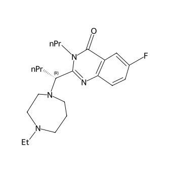 CCC[C@H](c1nc2ccc(F)cc2c(=O)n1CCC)N1CCCN(CC)CC1